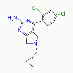 Nc1nc2c(c(-c3ccc(Cl)cc3Cl)n1)CN(CC1CC1)C2